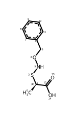 C[C@@H](SNOCc1ccccc1)C(=O)O